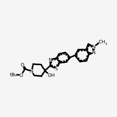 Cn1cc2cc(-c3ccc4nc(C5(O)CCN(C(=O)OC(C)(C)C)CC5)sc4c3)ccc2n1